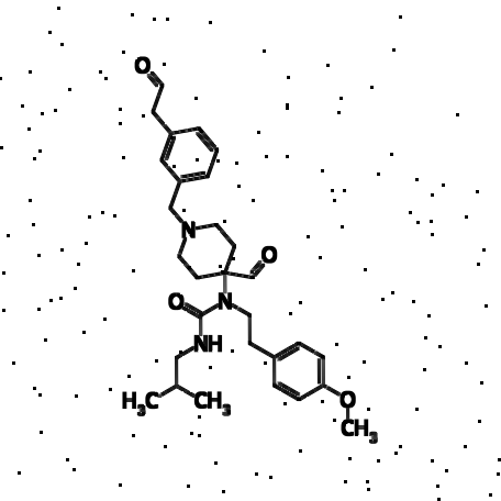 COc1ccc(CCN(C(=O)NCC(C)C)C2(C=O)CCN(Cc3cccc(CC=O)c3)CC2)cc1